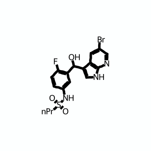 CCCS(=O)(=O)Nc1ccc(F)c(C(O)c2c[nH]c3ncc(Br)cc23)c1